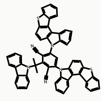 CC(C)(c1c(C#N)c(-n2c3ccccc3c3c4c(ccc32)sc2ccccc24)cc(-n2c3ccccc3c3c4c(ccc32)sc2ccccc24)c1C#N)n1c2ccccc2c2ccccc21